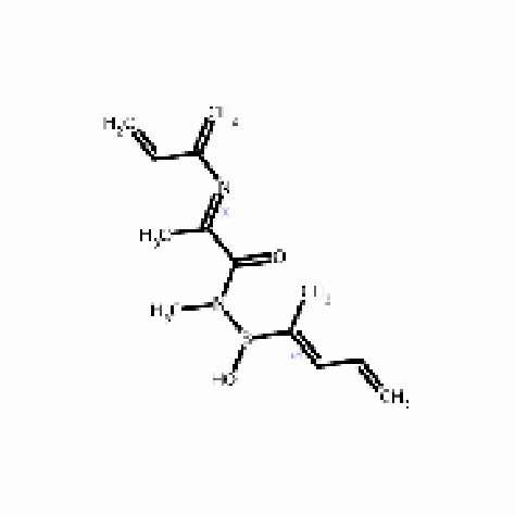 C=C/C=C(\C)B(O)N(C)C(=O)/C(C)=N/C(=C)C=C